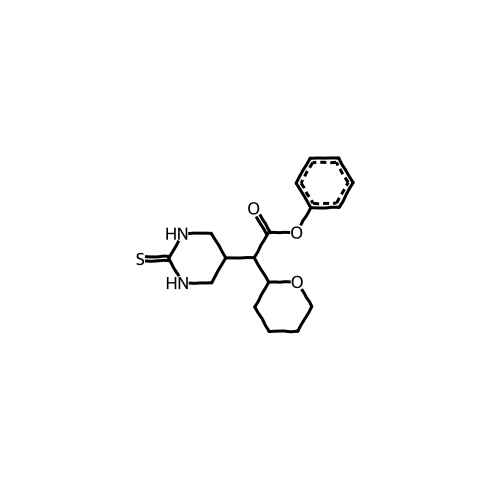 O=C(Oc1ccccc1)C(C1CNC(=S)NC1)C1CCCCO1